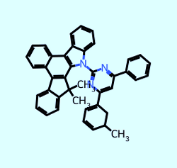 CC1C=CC=C(c2cc(-c3ccccc3)nc(-n3c4ccccc4c4c5ccccc5c5c(c43)C(C)(C)c3ccccc3-5)n2)C1